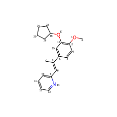 COc1ccc(C(C)=Cc2ccccn2)cc1OC1CCCC1